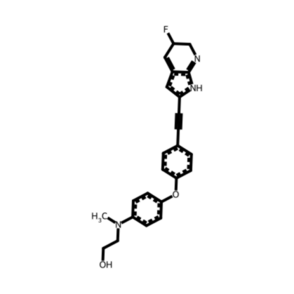 CN(CCO)c1ccc(Oc2ccc(C#Cc3cc4c([nH]3)=NCC(F)C=4)cc2)cc1